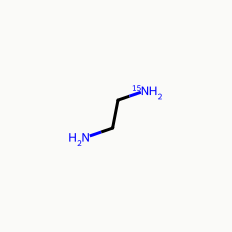 NCC[15NH2]